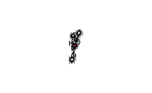 O=C(O[C@H]1C[N+]2(CCCOc3ccccc3)CCC1CC2)N(Cc1ccccc1)c1cccs1